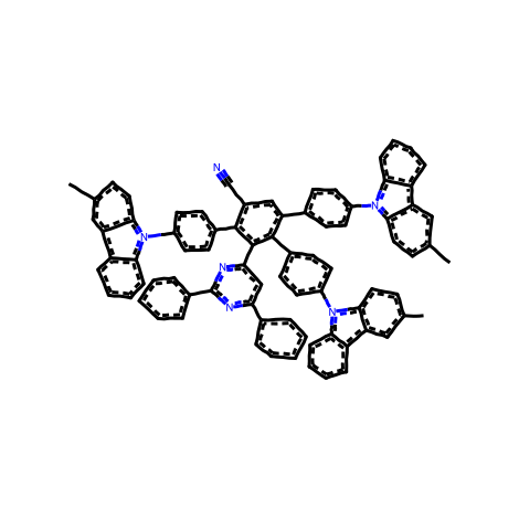 Cc1ccc2c(c1)c1ccccc1n2-c1ccc(-c2cc(C#N)c(-c3ccc(-n4c5ccccc5c5cc(C)ccc54)cc3)c(-c3cc(-c4ccccc4)nc(-c4ccccc4)n3)c2-c2ccc(-n3c4ccccc4c4cc(C)ccc43)cc2)cc1